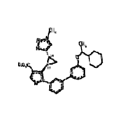 CCOC(=O)c1cnn(-c2cccc(-c3cccc(OC(C)C4CCCCC4)c3)c2)c1[C@@H]1C[C@H]1c1cn(C)nn1